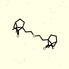 CC1(C)C2CCC1(CCOCCC13CCC(CC1=O)C3(C)C)C(=O)C2